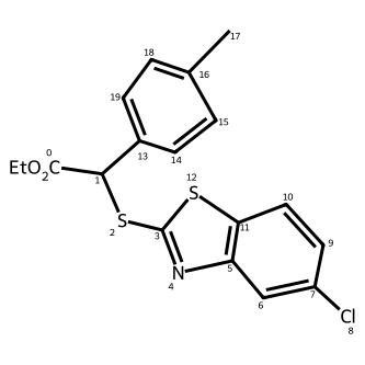 CCOC(=O)C(Sc1nc2cc(Cl)ccc2s1)c1ccc(C)cc1